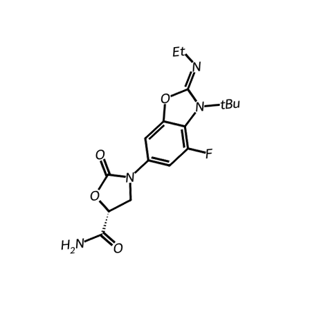 CC/N=c1\oc2cc(N3C[C@H](C(N)=O)OC3=O)cc(F)c2n1C(C)(C)C